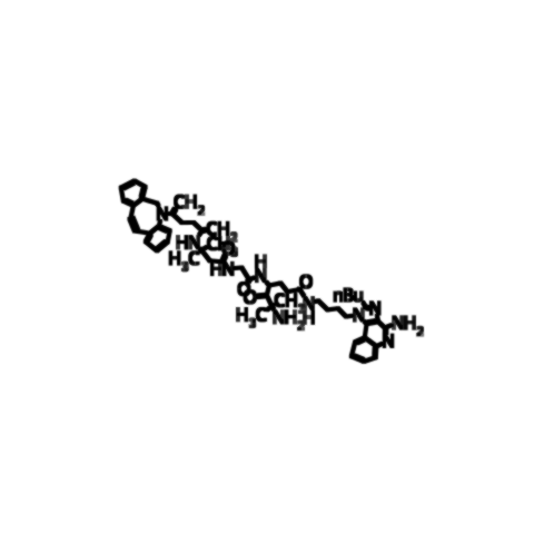 C=C(CCC(=C)N1Cc2ccccc2C#Cc2ccccc21)NC(C)(C)CC(=O)NCC(=O)NC(CCC(=O)NCCCCn1c(CCCC)nc2c(N)nc3ccccc3c21)C(=O)C(C)(C)N